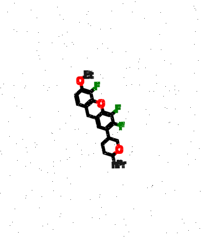 CCCC1CCC(c2cc3c(c(F)c2F)Oc2c(ccc(OCC)c2F)C3)CO1